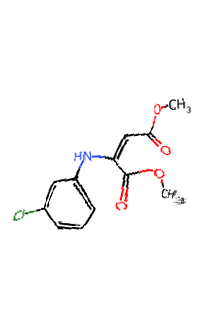 COC(=O)C=C(Nc1cccc(Cl)c1)C(=O)OC